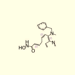 C=C/C(N=C)=C(\C=C/C/C=C/C(=O)NO)N(C)Cc1ccccc1